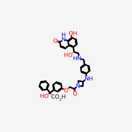 O=C(COc1cccc([C@](O)(C(=O)O)c2ccccc2)c1)N1CC(Nc2ccc(CNC[C@H](O)c3ccc(O)c4[nH]c(=O)ccc34)cc2)C1